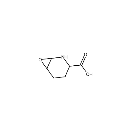 O=C(O)C1CCC2OC2N1